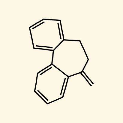 C=C1CCc2ccccc2-c2ccccc21